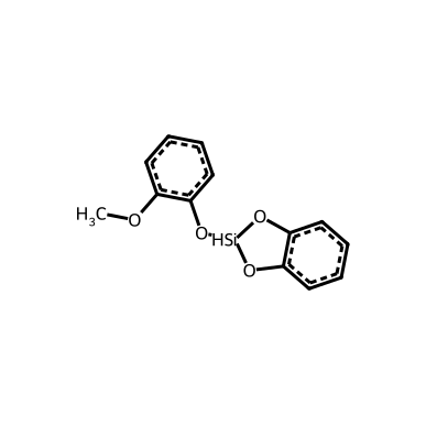 COc1ccccc1O[SiH]1Oc2ccccc2O1